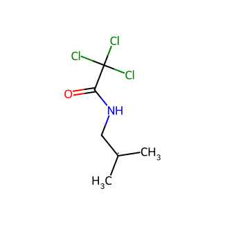 C[C](C)CNC(=O)C(Cl)(Cl)Cl